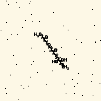 CCCC(=O)CCCOCCCC(=O)CCSCC(O)C(O)CSC